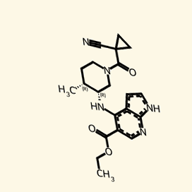 CCOC(=O)c1cnc2[nH]ccc2c1N[C@H]1CN(C(=O)C2(C#N)CC2)CC[C@H]1C